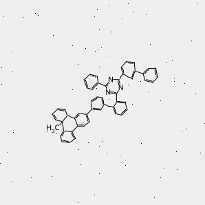 CC12C=CC=CC1c1cc(-c3cccc(-c4ccccc4-c4nc(-c5ccccc5)nc(-c5cccc(-c6ccccc6)c5)n4)c3)ccc1-c1ccccc12